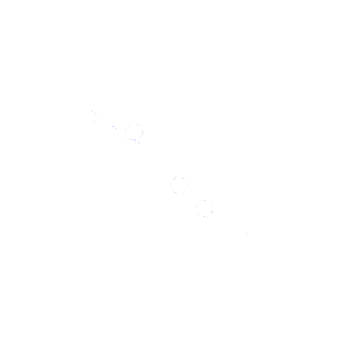 CC(C)(C)COCc1ccc(Oc2cccc(CC(C)(C)CCC(C)(C)Cc3ccc(N4CC[C@@H](NC(C)(C)C)C4)cn3)c2)cc1